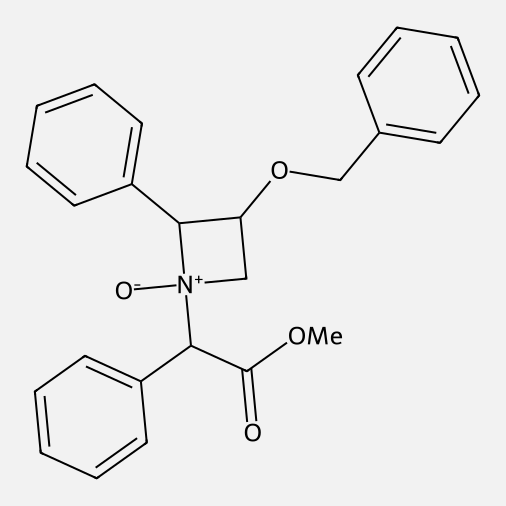 COC(=O)C(c1ccccc1)[N+]1([O-])CC(OCc2ccccc2)C1c1ccccc1